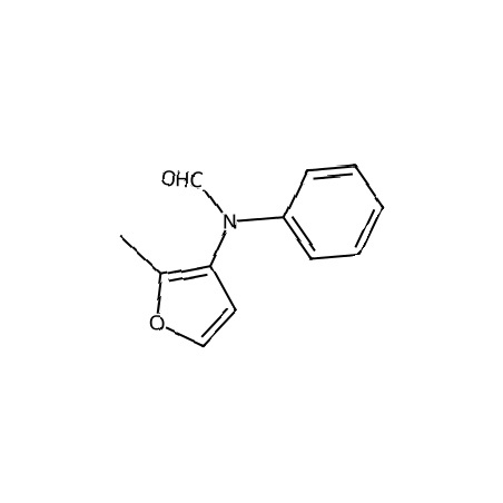 Cc1occc1N(C=O)c1ccccc1